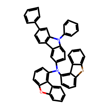 c1ccc(-c2ccc3c4cc(N(c5cccc6oc7ccccc7c56)c5cccc6sc7ccccc7c56)ccc4n(-c4ccccc4)c3c2)cc1